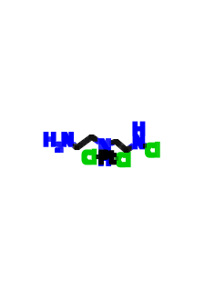 NCCNCCNCl.[Cl][Pt][Cl]